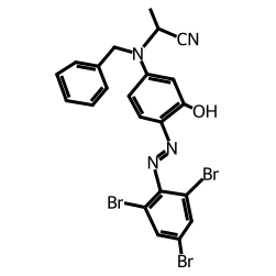 CC(C#N)N(Cc1ccccc1)c1ccc(N=Nc2c(Br)cc(Br)cc2Br)c(O)c1